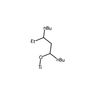 CCCCC(CC)CC(CCCC)[O][Ti]